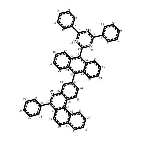 c1ccc(-c2nc(-c3ccccc3)nc(-c3c4ccccc4c(-c4ccc5c(c4)nc(-c4ccccc4)c4ccc6ccccc6c45)c4ccccc34)n2)cc1